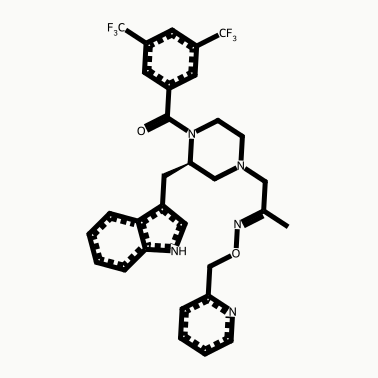 CC(CN1CCN(C(=O)c2cc(C(F)(F)F)cc(C(F)(F)F)c2)[C@H](Cc2c[nH]c3ccccc23)C1)=NOCc1ccccn1